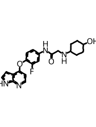 O=C(CNC1CCC(O)CC1)Nc1ccc(Oc2ccnc3[nH]ccc23)c(F)c1